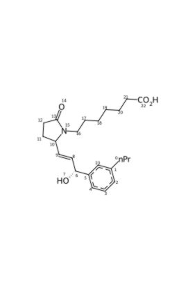 CCCc1cccc([C@H](O)/C=C/C2CCC(=O)N2CCCCCCC(=O)O)c1